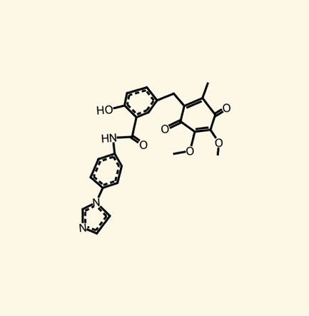 COC1=C(OC)C(=O)C(Cc2ccc(O)c(C(=O)Nc3ccc(-n4ccnc4)cc3)c2)=C(C)C1=O